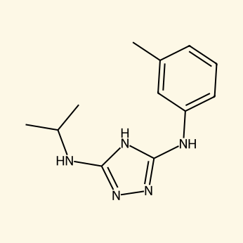 Cc1cccc(Nc2nnc(NC(C)C)[nH]2)c1